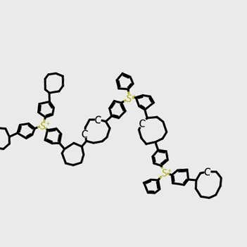 c1ccc([S+](c2ccc(C3CCCCCCCCC3)cc2)c2ccc(C3CCCCC(c4cccc([S+](c5ccccc5)c5ccc(C6CCCCC(C7CCCCCC(c8ccc([S+](c9ccc(C%10CCCCCCC%10)cc9)c9ccc(C%10CCCCCCC%10)cc9)cc8)C7)CCCC6)cc5)c4)CCCC3)cc2)cc1